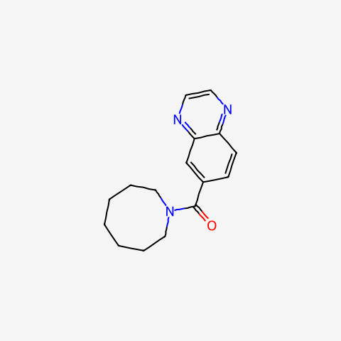 O=C(c1ccc2nccnc2c1)N1CCCCCCC1